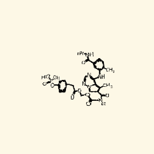 CCCNC(=O)c1ccc(C)c(NC2=NC=NN3CC(C(=O)N(CC)C(=O)OCOC(=O)Cc4ccc(OP(=O)(O)O)cc4)C(C)=C23)c1